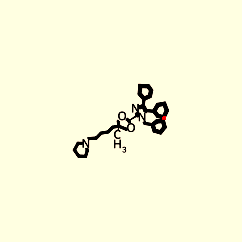 C[C@]1(CCCCCN2CCCCC2)CO[C@@H](c2nc(-c3ccccc3)c(-c3ccccc3)n2Cc2ccccc2)OC1